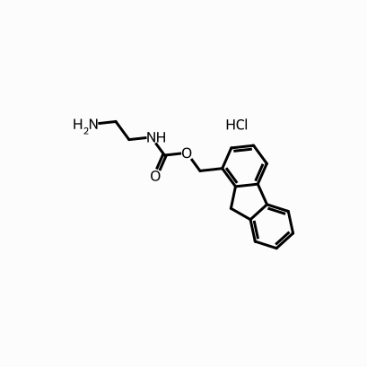 Cl.NCCNC(=O)OCc1cccc2c1Cc1ccccc1-2